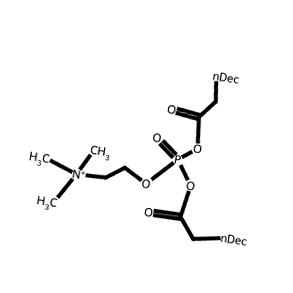 CCCCCCCCCCCC(=O)OP(=O)(OCC[N+](C)(C)C)OC(=O)CCCCCCCCCCC